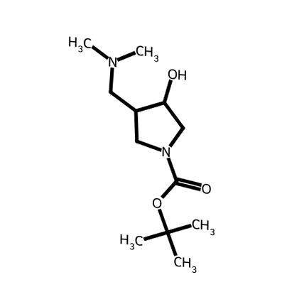 CN(C)CC1CN(C(=O)OC(C)(C)C)CC1O